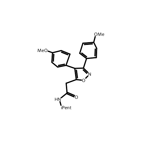 CCCC(C)NC(=O)Cc1onc(-c2ccc(OC)cc2)c1-c1ccc(OC)cc1